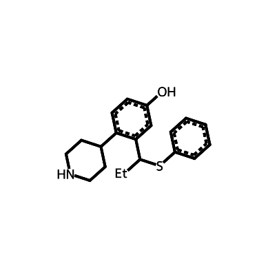 CCC(Sc1ccccc1)c1cc(O)ccc1C1CCNCC1